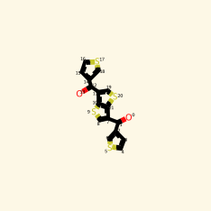 O=C(c1ccsc1)c1csc2c(C(=O)c3ccsc3)csc12